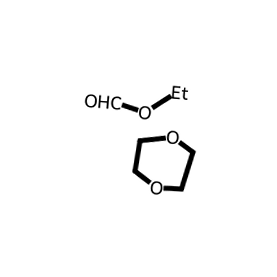 C1COCCO1.CCOC=O